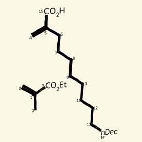 C=C(C)C(=O)OCC.C=C(CCCCCCCCCCCCCCCCCC)C(=O)O